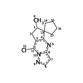 CC1Cc2c(nc3ccnn3c2Cl)C12CCCC2